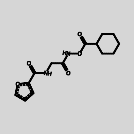 O=C(CNC(=O)c1ccco1)NOC(=O)C1CCCCC1